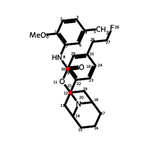 COc1ccc(C)cc1NC(=O)OC1CC2CCCC(C1)N2Cc1ccc(CCF)cc1